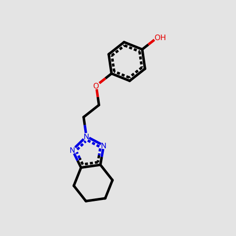 Oc1ccc(OCCn2nc3c(n2)CCCC3)cc1